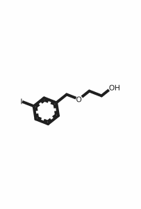 OCCOCc1cccc(I)c1